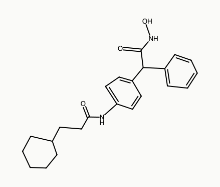 O=C(CCC1CCCCC1)Nc1ccc(C(C(=O)NO)c2ccccc2)cc1